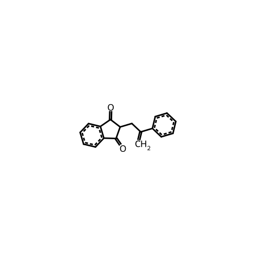 C=C(CC1C(=O)c2ccccc2C1=O)c1ccccc1